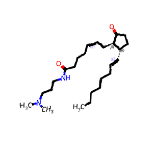 CCCCCC/C=C/[C@H]1CCC(=O)[C@@H]1C/C=C\CCCC(=O)NCCCN(C)C